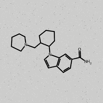 NC(=O)c1ccc2ccn(C3CCCCC3CN3CCCCC3)c2c1